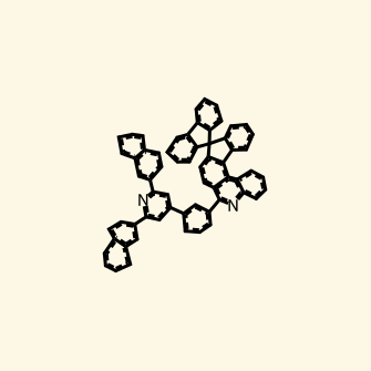 c1cc(-c2cc(-c3ccc4ccccc4c3)nc(-c3ccc4ccccc4c3)c2)cc(-c2nc3ccccc3c3c4c(ccc23)C2(c3ccccc3-c3ccccc32)c2ccccc2-4)c1